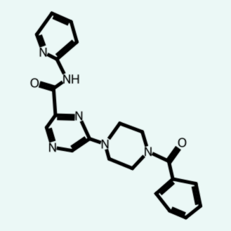 O=C(Nc1ccccn1)c1cncc(N2CCN(C(=O)c3ccccc3)CC2)n1